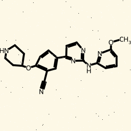 COc1cccc(Nc2nccc(-c3ccc(OC4CCNCC4)c(C#N)c3)n2)n1